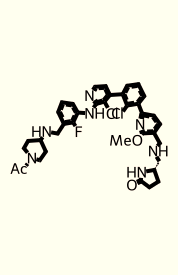 COc1nc(-c2cccc(-c3ccnc(Nc4cccc(CNC5CCN(C(C)=O)CC5)c4F)c3Cl)c2Cl)ccc1CNC[C@@H]1CCC(=O)N1